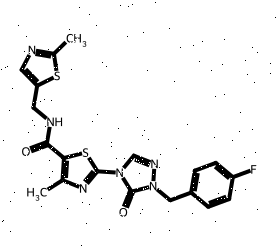 Cc1ncc(CNC(=O)c2sc(-n3cnn(Cc4ccc(F)cc4)c3=O)nc2C)s1